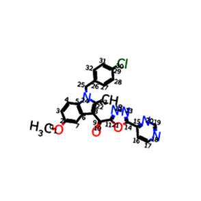 COc1ccc2c(c1)c(C(=O)c1nnc(-c3ccncn3)o1)c(C)n2Cc1ccc(Cl)cc1